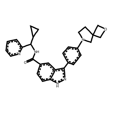 O=C(NC(c1ccccn1)C1CC1)c1ccc2[nH]nc(-c3ccc(N4CCC5(COC5)C4)cc3)c2c1